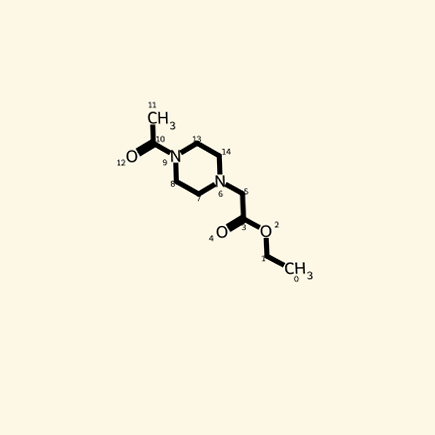 CCOC(=O)CN1CCN(C(C)=O)CC1